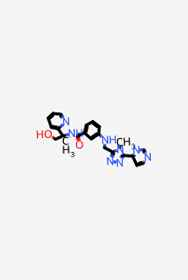 Cn1c(CNc2cccc(C(=O)NC(C)(CO)c3ccccn3)c2)nnc1-c1ccncn1